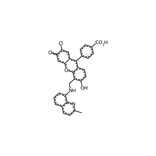 Cc1ccc2cccc(NCc3c(O)ccc4c(-c5ccc(C(=O)O)cc5)c5cc(Cl)c(=O)cc-5oc34)c2n1